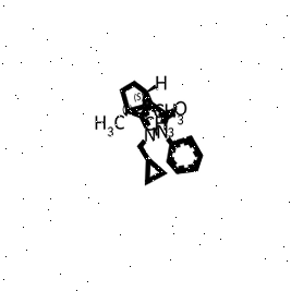 CC1(C)[C@@H]2CC[C@@]1(C)c1c2c(=O)n(-c2ccccc2)n1CC1CC1